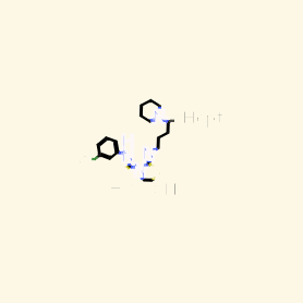 CCCCCCCC(CCCN=C1SC(C)C(C)N1C(=S)Nc1cccc(Cl)c1)N1CCCCC1